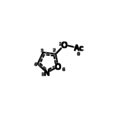 CC(=O)Oc1ccno1